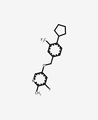 Cc1ncc(OCc2ccc(C3CCCC3)c(C(F)(F)F)c2)cc1F